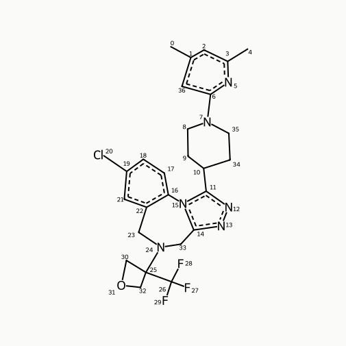 Cc1cc(C)nc(N2CCC(c3nnc4n3-c3ccc(Cl)cc3CN(C3(C(F)(F)F)COC3)C4)CC2)c1